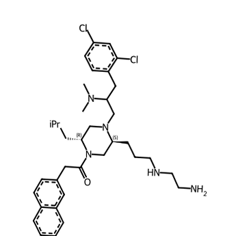 CC(C)C[C@@H]1CN(CC(Cc2ccc(Cl)cc2Cl)N(C)C)[C@@H](CCCNCCN)CN1C(=O)Cc1ccc2ccccc2c1